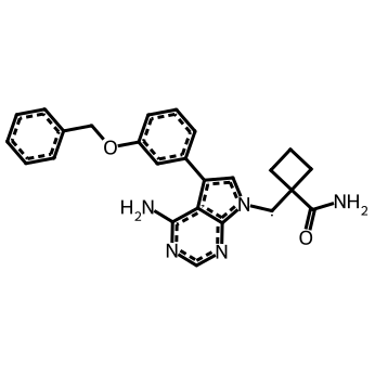 NC(=O)C1([CH]n2cc(-c3cccc(OCc4ccccc4)c3)c3c(N)ncnc32)CCC1